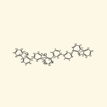 c1cc(-c2cccc(-c3cccc4c3sc3ccccc34)c2)cc(-c2ncnc3c2oc2ccc(-c4cccc5c4oc4ccccc45)cc23)c1